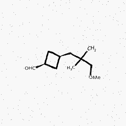 COCC(C)(C)C[C@H]1C[C@@H](C=O)C1